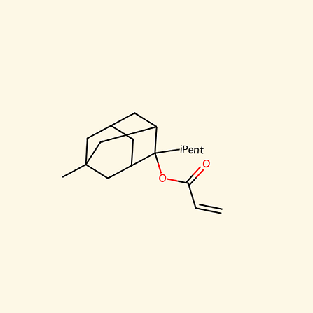 C=CC(=O)OC1(C(C)CCC)C2CC3CC1CC(C)(C3)C2